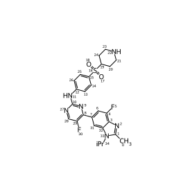 Cc1nc2c(F)cc(-c3nc(Nc4ccc(S(=O)(=O)C5CCNCC5)cc4)ncc3F)cc2n1C(C)C